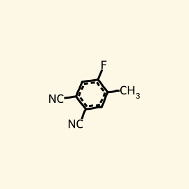 Cc1cc(C#N)c(C#N)cc1F